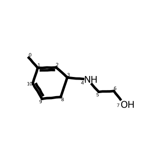 CC1=CC(NCCO)CC=C1